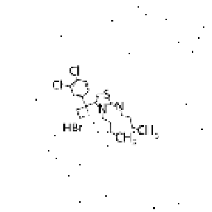 Br.CCCC/N=c1/scc(C2(c3ccc(Cl)c(Cl)c3)CCC2)n1CCCC